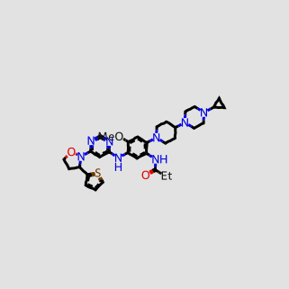 CCC(=O)Nc1cc(Nc2cc(N3OCCC3c3cccs3)ncn2)c(OC)cc1N1CCC(N2CCN(C3CC3)CC2)CC1